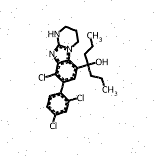 CCCC(O)(CCC)c1cc(-c2ccc(Cl)cc2Cl)c(Cl)c2nc3n(c12)CCCN3